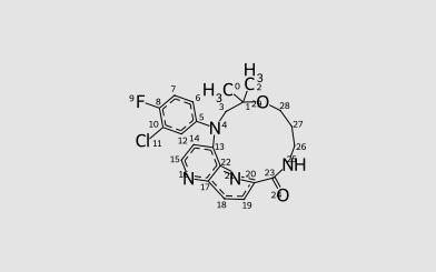 CC1(C)CN(c2ccc(F)c(Cl)c2)c2ccnc3ccc(nc23)C(=O)NCCCO1